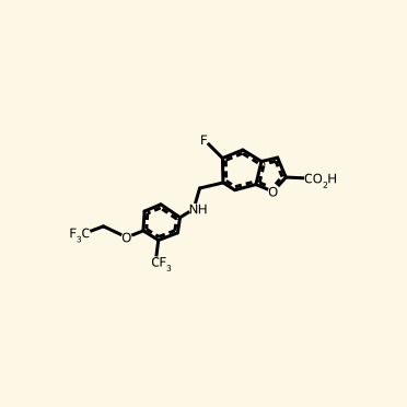 O=C(O)c1cc2cc(F)c(CNc3ccc(OCC(F)(F)F)c(C(F)(F)F)c3)cc2o1